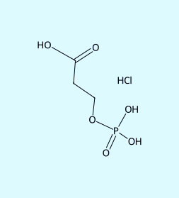 Cl.O=C(O)CCOP(=O)(O)O